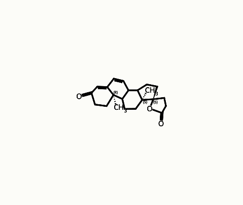 C[C@]12CCC(=O)C=C1C=CC1C2CC[C@@]2(C)C1CC[C@]21CCC(=O)O1